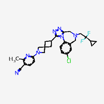 Cc1nc(N2CC3(CC(c4nnc5n4-c4ccc(Cl)cc4CN(CC(F)(F)C4CC4)C5)C3)C2)ccc1C#N